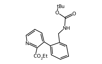 CCOC(=O)c1ncccc1-c1ccccc1CNC(=O)OC(C)(C)C